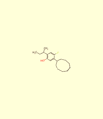 CCC(C)c1cc(F)c(C2CCCCCCCC2)cc1O